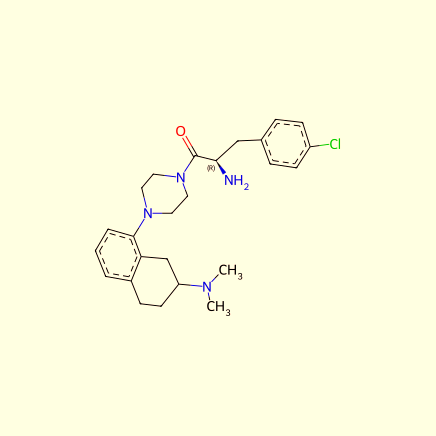 CN(C)C1CCc2cccc(N3CCN(C(=O)[C@H](N)Cc4ccc(Cl)cc4)CC3)c2C1